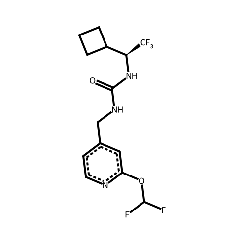 O=C(NCc1ccnc(OC(F)F)c1)N[C@@H](C1CCC1)C(F)(F)F